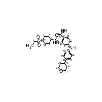 CCS(=O)(=O)N1CCC(CNc2cc(Nc3ccc(C4CCOCC4)cc3)ncc2C(N)=O)CC1